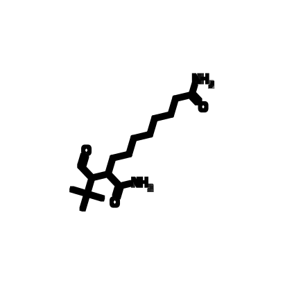 CC(C)(C)C(C=O)C(CCCCCCCC(N)=O)C(N)=O